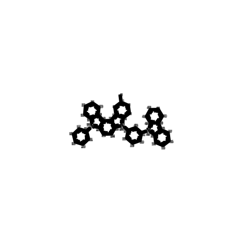 Cc1ccc2c(c1)c1c3c4ccccc4n(-c4ccccc4)c3ccc1n2-c1cccc(-n2c3ccccc3c3ccccc32)c1